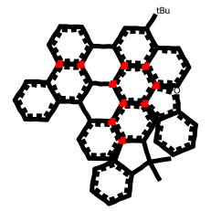 CC(C)(C)c1cc(-c2ccccc2)c(N(c2ccc3c(c2)-c2ccccc2C3(C)C)c2ccc3ccccc3c2-c2ccccc2-c2cccc3oc4ccccc4c23)c2ccccc12